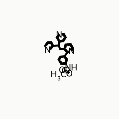 CS(=O)(=O)Nc1cccc(-c2ncccc2CC(c2cccnc2)c2cccnc2)c1